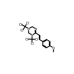 COc1ccc(C=CC2=NCN(C(Cl)(Cl)Cl)CN2C(Cl)(Cl)Cl)cc1